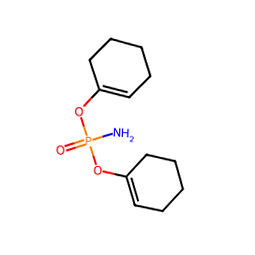 NP(=O)(OC1=CCCCC1)OC1=CCCCC1